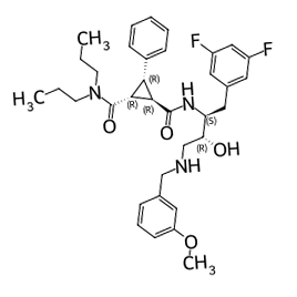 CCCN(CCC)C(=O)[C@H]1[C@H](C(=O)N[C@@H](Cc2cc(F)cc(F)c2)[C@H](O)CNCc2cccc(OC)c2)[C@H]1c1ccccc1